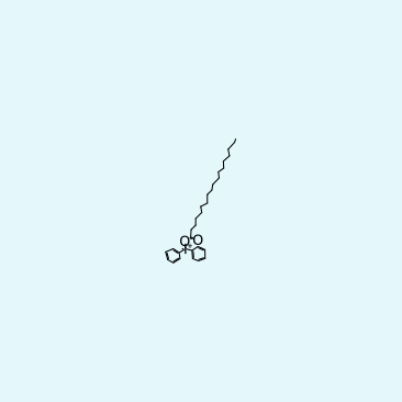 CCCCCCCCCCCCCCCCCC(=O)O[I+](c1ccccc1)c1ccccc1